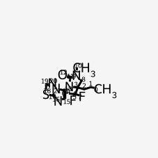 CCCC1(C(F)(F)F)CN(C)C(=O)N1c1cnc2scnn12